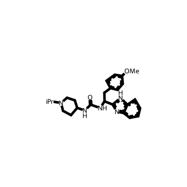 COc1ccc(CC(NC(=O)NC2CCN(C(C)C)CC2)c2nc3ccccc3[nH]2)cc1